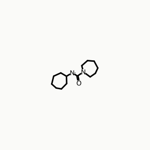 O=C([N]C1CCCCCC1)N1CCCCCC1